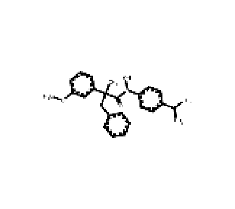 COc1cccc(C(C)(Cc2ccccc2)C(=O)N(O)c2ccc(C(C)C)cc2)c1